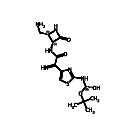 CC(C)(C)O[C@@H](O)Nc1nc(C(=N)C(=O)N[C@@H]2C(=O)N[C@@H]2CN)cs1